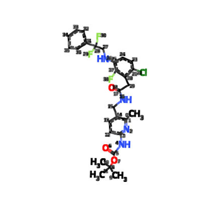 Cc1nc(NC(=O)OC(C)(C)C)ccc1CNC(=O)Cc1c(Cl)ccc(NCC(F)(F)c2ccccc2)c1F